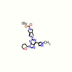 Cn1cc(-c2nc(N3C=C4CN(C(=O)OC(C)(C)C)CC4C3)nc3c2ncn3C2CCCCO2)cn1